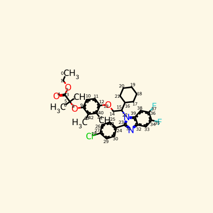 CCOC(=O)C(C)(C)Oc1ccc(OCC(C2CCCCC2)n2c(-c3ccc(Cl)cc3)nc3cc(F)c(F)cc32)c(C)c1C